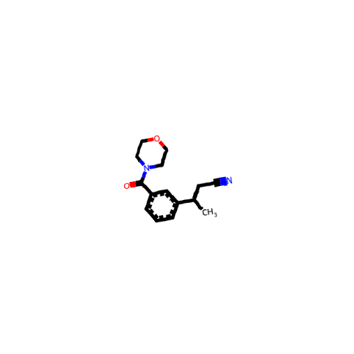 CC(CC#N)c1cccc(C(=O)N2CCOCC2)c1